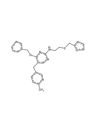 Cc1ccc(Cc2cnc(NCCSCc3ccco3)nc2OCc2ccccc2)cn1